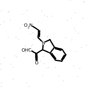 O=CC(=O)C1c2ccccc2CN1C=C[N+](=O)[O-]